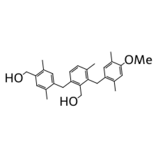 COc1cc(C)c(Cc2c(C)ccc(Cc3cc(C)c(CO)cc3C)c2CO)cc1C